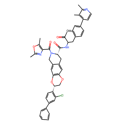 COC(=O)C(Cc1ccc(-c2ccnc(C)c2C)cc1)NC(=O)[C@@H]1Cc2cc3c(cc2CN1C(=O)c1nc(C)oc1C)O[C@@H](c1ccc(-c2ccccc2)cc1Cl)CO3